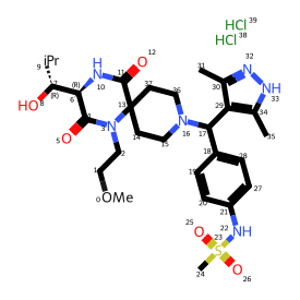 COCCN1C(=O)[C@@H]([C@H](O)C(C)C)NC(=O)C12CCN(C(c1ccc(NS(C)(=O)=O)cc1)c1c(C)n[nH]c1C)CC2.Cl.Cl